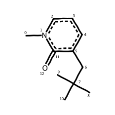 Cn1cccc(CC(C)(C)C)c1=O